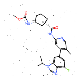 COC(=O)N[C@@H]1CCC[C@H](C(=O)Nc2cc(-c3cc(F)c4ncn(C(C)C)c4c3)c(C)cn2)C1